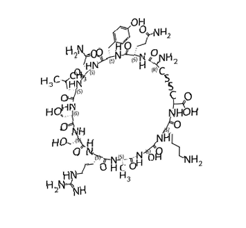 CC(C)C[C@@H]1NC(=O)[C@H](CC(N)=O)NC(=O)[C@H](Cc2ccc(O)cc2)NC(=O)[C@H](CCC(N)=O)NC(=O)[C@@H](N)CSSCC(C(=O)O)NC(=O)[C@H](CCCCN)NC(=O)[C@H](O)NC(=O)[C@H](C)NC(=O)[C@H](CCCNC(=N)N)NC(=O)[C@H](CO)NC(=O)[C@H](CO)NC1=O